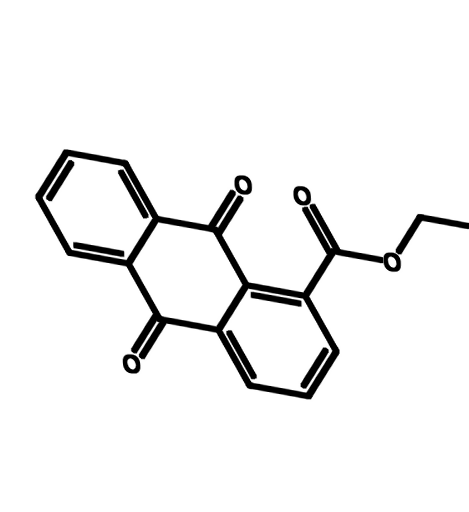 CCOC(=O)c1cccc2c1C(=O)c1ccccc1C2=O